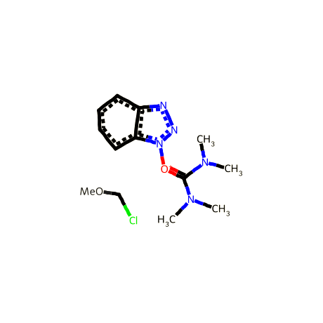 CN(C)C(=[O+]n1nnc2ccccc21)N(C)C.COCCl